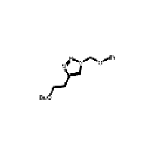 CC(C)COCCc1cn(COC(C)C)nn1